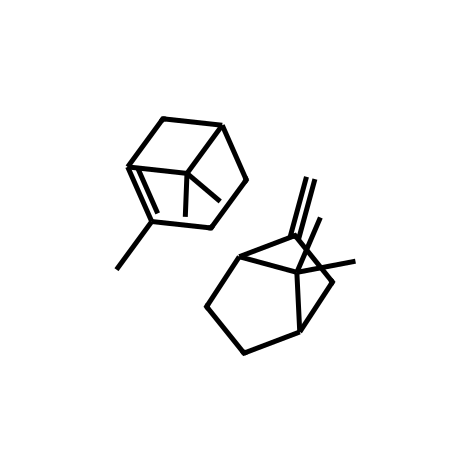 C=C1CC2CCC1C2(C)C.CC1=C2CC(CC1)C2(C)C